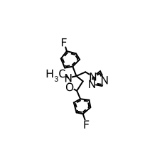 CN1OC(c2ccc(F)cc2)CC1(Cn1cncn1)c1ccc(F)cc1